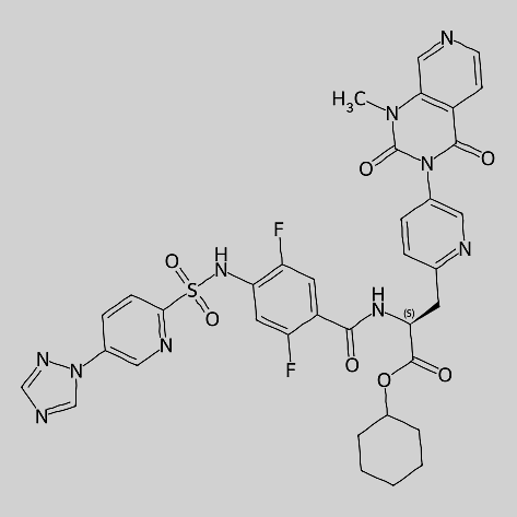 Cn1c(=O)n(-c2ccc(C[C@H](NC(=O)c3cc(F)c(NS(=O)(=O)c4ccc(-n5cncn5)cn4)cc3F)C(=O)OC3CCCCC3)nc2)c(=O)c2ccncc21